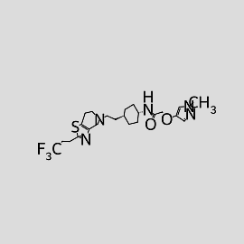 Cn1cc(OCC(=O)N[C@H]2CC[C@H](CCN3CCc4sc(CCC(F)(F)F)nc4C3)CC2)cn1